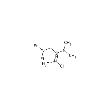 CCN(CC)C[SiH](N(C)C)N(C)C